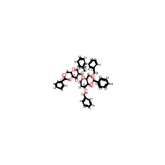 COC1OC2COC(c3ccccc3)OC2C(O[C@H]2C[C@@H](OCc3ccccc3)C(OCc3ccccc3)C(COCc3ccccc3)O2)C1OCc1ccccc1